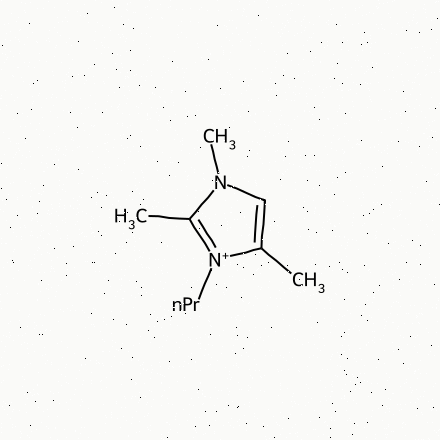 CCC[n+]1c(C)cn(C)c1C